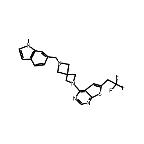 Cn1ccc2ccc(CN3CC4(C3)CN(c3ncnc5sc(CC(F)(F)F)cc35)C4)cc21